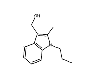 CCCn1c(C)c(CO)c2[c]cccc21